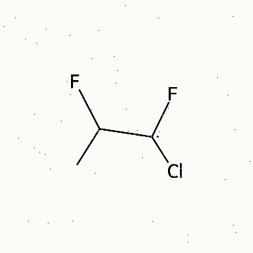 CC(F)[C](F)Cl